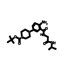 CC(C)NC(=O)CNC(=O)c1cc(N2CCN(C(=O)OC(C)(C)C)CC2)ccc1N